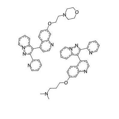 CN(C)CCCOc1ccc2c(-c3c(-c4ccccn4)nn4ccccc34)ccnc2c1.c1ccc(-c2nn3ccccc3c2-c2ccnc3cc(OCCN4CCOCC4)ccc23)nc1